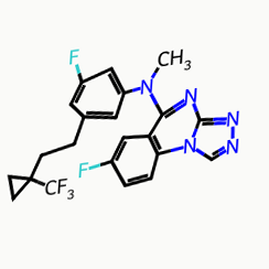 CN(c1cc(F)cc(CCC2(C(F)(F)F)CC2)c1)c1nc2nncn2c2ccc(F)cc12